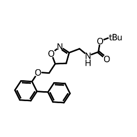 CC(C)(C)OC(=O)NCC1=NOC(COc2ccccc2-c2ccccc2)C1